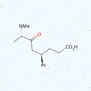 CN[C@@H](C)C(=O)C[C@@H](CCC(=O)O)C(C)=O